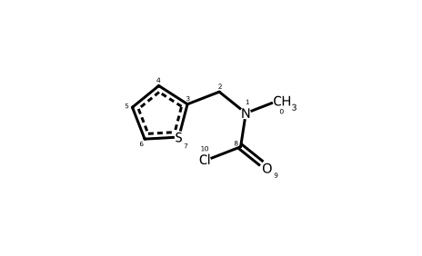 CN(Cc1cccs1)C(=O)Cl